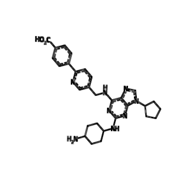 NC1CCC(Nc2nc(NCc3ccc(-c4ccc(C(=O)O)cc4)nc3)c3ncn(C4CCCC4)c3n2)CC1